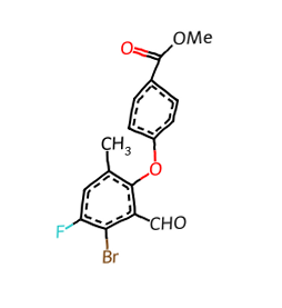 COC(=O)c1ccc(Oc2c(C)cc(F)c(Br)c2C=O)cc1